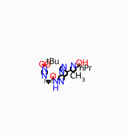 CCC[C@@H](O)c1cc(C)c(-c2cc3cnc(NC(=O)[C@H]4C[C@@H]4CN4CCN(C(=O)OC(C)(C)C)CC4)cc3n3ccnc23)cn1